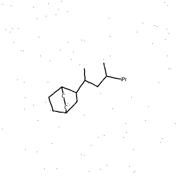 CC(C)C(C)CC(C)C1CC2CCC1CC2